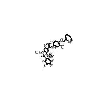 CCOc1cc2ncc(C#N)c(Nc3ccc(OCc4ccccn4)c(Cl)c3)c2cc1NS(=N)(=O)c1c(F)c(F)c(F)c(F)c1C(F)F